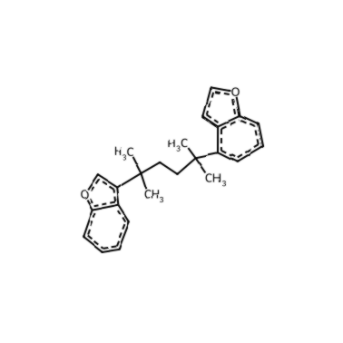 CC(C)(CCC(C)(C)c1coc2ccccc12)c1cccc2occc12